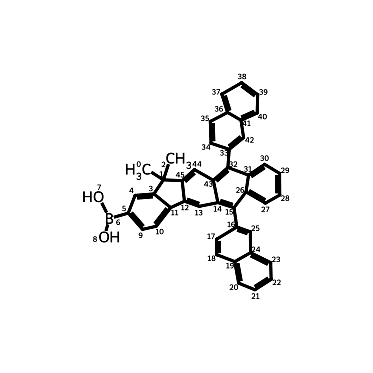 CC1(C)c2cc(B(O)O)ccc2-c2cc3c(-c4ccc5ccccc5c4)c4ccccc4c(-c4ccc5ccccc5c4)c3cc21